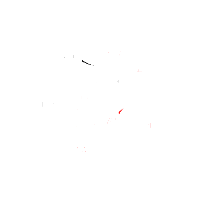 O=C[C@@H](O)[C@@H](O)[C@H](O)[C@H](O)CO.O=P(O)(O)OS(=O)(=O)O